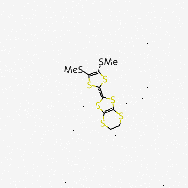 CSC1=C(SC)SC(=C2SC3=C(SCCS3)S2)S1